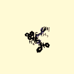 C#C/C=C(\C=C/C)C(/C)=C/C=C(\C)c1nc(C(=C)/C=C\C(=C/C)c2nc(-c3ccccc3)nc(-c3ccccc3)n2)nc(-c2cccc3c2-c2ccccc2C32CCCCC2)n1